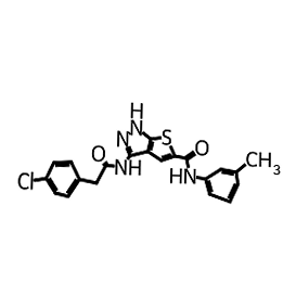 Cc1cccc(NC(=O)c2cc3c(NC(=O)Cc4ccc(Cl)cc4)n[nH]c3s2)c1